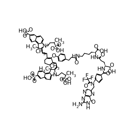 CC(CCN1/C(=C/C=C2\CCCC(/C=C/C3=[N+](CCC(C)S(=O)(=O)O)c4ccc5cc(S(=O)(=O)O)ccc5c4C3(C)C)=C2Oc2ccc(CCC(=O)NCCCC[C@H](NC(=O)CC[C@H](NC(=O)c3ccc(N(Cc4cnc5nc(N)[nH]c(=O)c5n4)C(=O)C(F)(F)F)cc3)C(=O)O)C(=O)O)cc2)C(C)(C)c2c1ccc1cc(S(=O)(=O)O)ccc21)S(=O)(=O)O